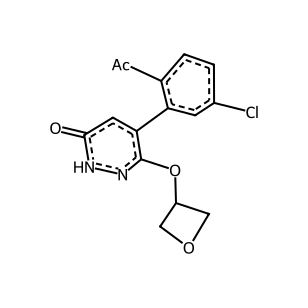 CC(=O)c1ccc(Cl)cc1-c1cc(=O)[nH]nc1OC1COC1